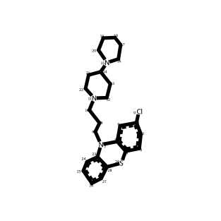 Clc1ccc2c(c1)N(CCCN1CCC(N3CCCCC3)CC1)c1ccccc1S2